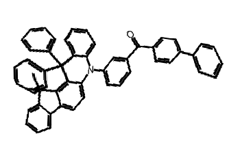 CC1(C)c2ccccc2-c2ccc3c(c21)C(c1ccccc1)(c1ccccc1)c1ccccc1N3c1cccc(C(=O)c2ccc(-c3ccccc3)cc2)c1